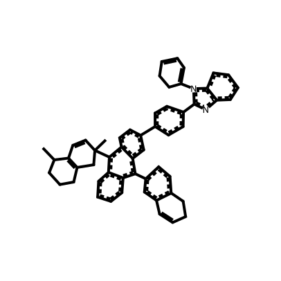 CC1CCCC2=C1C=CC(C)(c1c3ccccc3c(-c3ccc4c(c3)C=CCC4)c3cc(-c4ccc(-c5nc6ccccc6n5C5=CC=CCC5)cc4)ccc13)C2